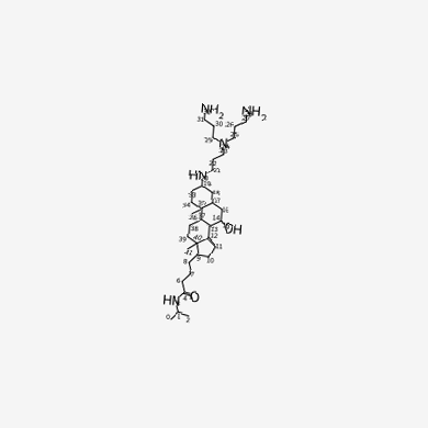 CC(C)NC(=O)CCCC1CCC2C3C(O)CC4CC(NCCCN(CCCN)CCCN)CCC4(C)C3CCC12C